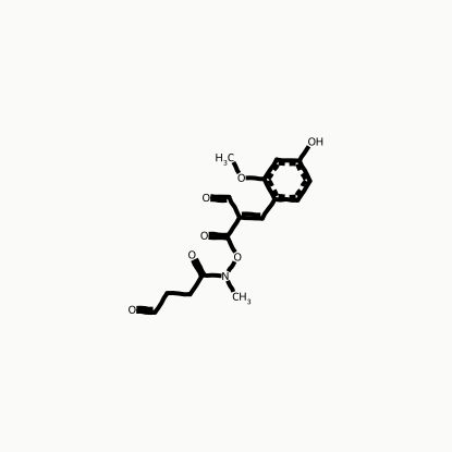 COc1cc(O)ccc1/C=C(\C=O)C(=O)ON(C)C(=O)CCC=O